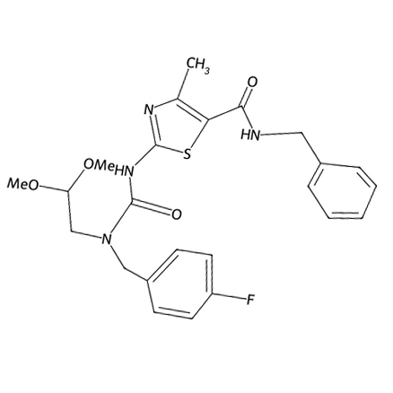 COC(CN(Cc1ccc(F)cc1)C(=O)Nc1nc(C)c(C(=O)NCc2ccccc2)s1)OC